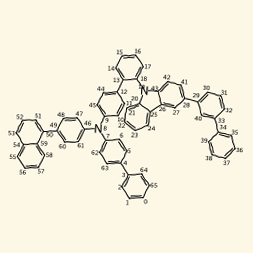 c1ccc(-c2ccc(N(c3ccc(-c4ccccc4-n4c5ccccc5c5cc(-c6cccc(-c7ccccc7)c6)ccc54)cc3)c3ccc(-c4cccc5ccccc45)cc3)cc2)cc1